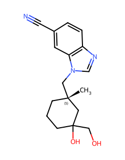 C[C@]1(Cn2cnc3ccc(C#N)cc32)CCCC(O)(CO)C1